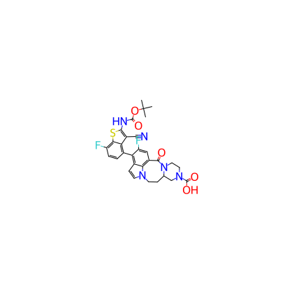 CC(C)(C)OC(=O)Nc1sc2c(F)ccc(-c3c(F)cc4c5c3ccn5CCC3CN(C(=O)O)CCN3C4=O)c2c1C#N